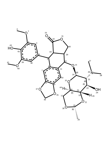 COc1cc(C2c3cc4c(cc3C(O[C@@H]3O[C@@H]5CO[C@@H](C)O[C@H]5[C@H](O)[C@H]3N(C)C)C3COC(=O)C23)OCO4)cc(OC)c1O